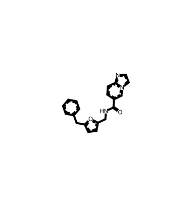 O=C(NCc1ccc(Cc2ccccc2)o1)c1ccc2nccn2c1